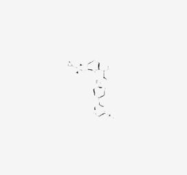 CCC(C(=O)Nc1ccc(-c2cncc(C(F)(F)F)n2)cn1)c1cccc(NS(=O)(=O)C2CC2)n1